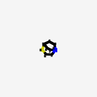 C1CN2CCC(CC2)S1